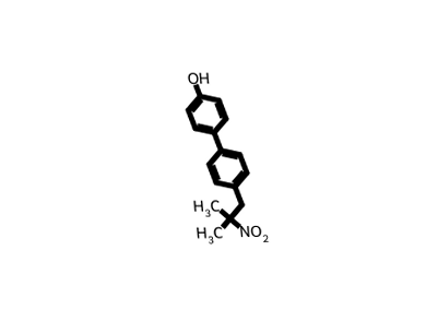 CC(C)(Cc1ccc(-c2ccc(O)cc2)cc1)[N+](=O)[O-]